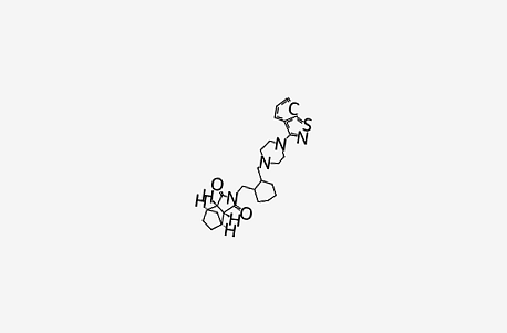 O=C1[C@@H]2[C@H]3CC[C@H](C3)[C@@H]2C(=O)N1CC1CCCCC1CN1CCN(c2nsc3ccccc23)CC1